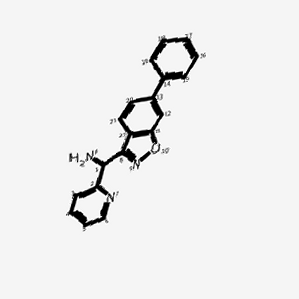 NC(c1ccccn1)c1noc2cc(-c3ccccc3)ccc12